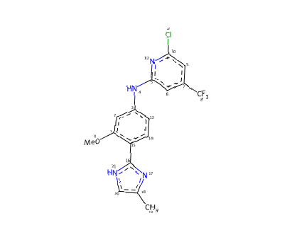 COc1cc(Nc2cc(C(F)(F)F)cc(Cl)n2)ccc1-c1nc(C)c[nH]1